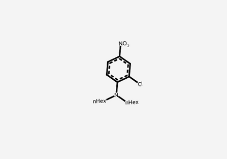 CCCCCCN(CCCCCC)c1ccc([N+](=O)[O-])cc1Cl